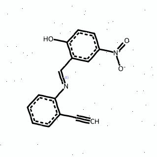 C#Cc1ccccc1/N=C/c1cc([N+](=O)[O-])ccc1O